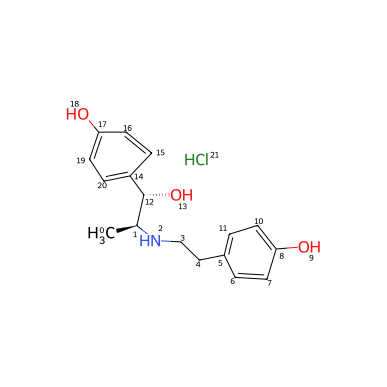 C[C@H](NCCc1ccc(O)cc1)[C@@H](O)c1ccc(O)cc1.Cl